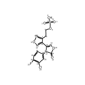 CS(=O)(=O)OCCc1nonc1-c1noc(=O)n1-c1ccc(F)c(Cl)c1